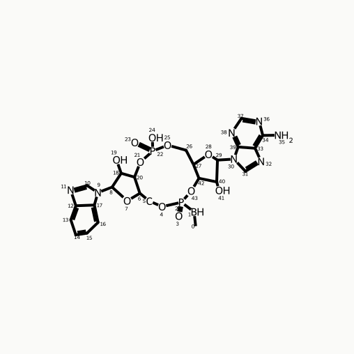 CBP1(=O)OCC2OC(n3cnc4ccccc43)C(O)C2OP(=O)(O)OCC2OC(n3cnc4c(N)ncnc43)C(O)C2O1